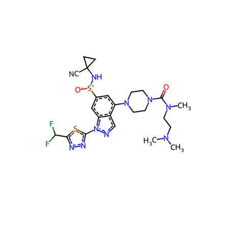 CN(C)CCN(C)C(=O)N1CCN(c2cc([S+]([O-])NC3(C#N)CC3)cc3c2cnn3-c2nnc(C(F)F)s2)CC1